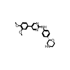 COc1ccc(-c2cnc(Nc3ccc([C@H]4CNCCO4)cc3)nc2)cc1OC